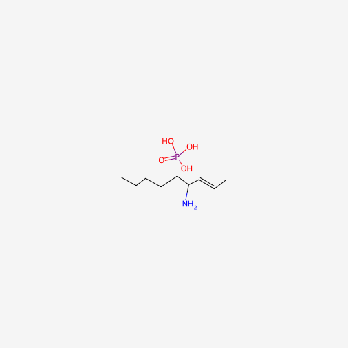 CC=CC(N)CCCCC.O=P(O)(O)O